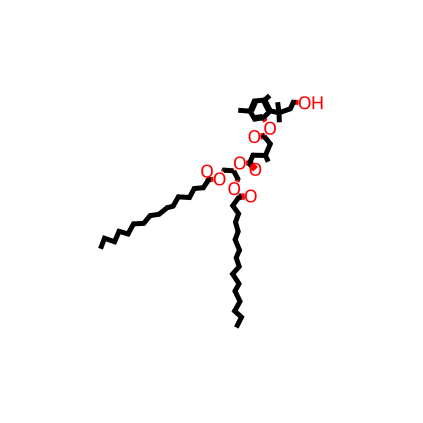 CCCCCCCCCCCCCCCC(=O)OCC(COC(=O)CCCCCCCCCCCCCCC)OC(=O)CC(C)CC(=O)Oc1cc(C)cc(C)c1C(C)(C)CCO